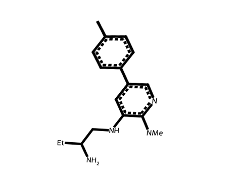 CCC(N)CNc1cc(-c2ccc(C)cc2)cnc1NC